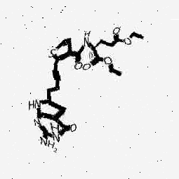 CCOC(=O)CC[C@H](NC(=O)c1ccsc1C#CCCc1cc2c(=O)[nH]c(N)nc2[nH]1)C(=O)OCC